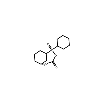 CC(=O)OP(=O)(C1CCCCC1)C1CCCCC1